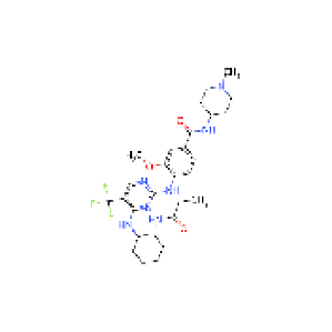 CCC(=O)N[C@@H]1CCCC[C@H]1Nc1nc(Nc2ccc(C(=O)NC3CCN(C)CC3)cc2OC)ncc1C(F)(F)F